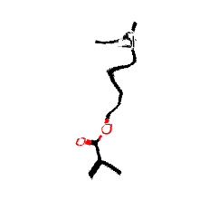 C=C(C)C(=O)OCCCC[Si](C)C